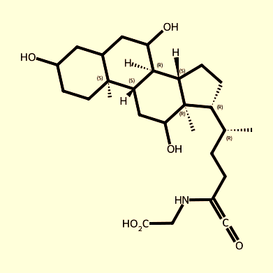 C[C@H](CCC(=C=O)NCC(=O)O)[C@H]1CC[C@H]2[C@@H]3C(O)CC4CC(O)CC[C@]4(C)[C@H]3CC(O)[C@]12C